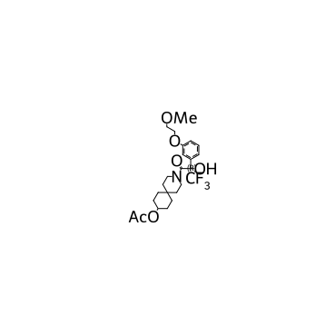 COCCOc1cccc([C@@](O)(C(=O)N2CCC3(CCC(OC(C)=O)CC3)CC2)C(F)(F)F)c1